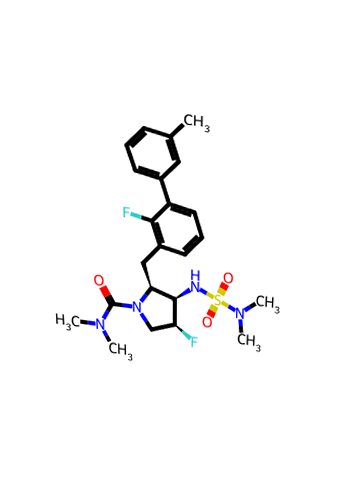 Cc1cccc(-c2cccc(C[C@H]3[C@@H](NS(=O)(=O)N(C)C)[C@@H](F)CN3C(=O)N(C)C)c2F)c1